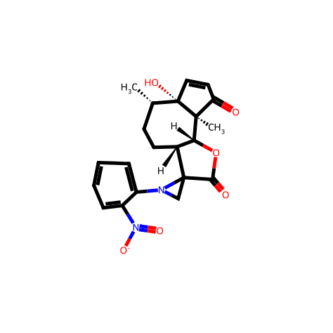 C[C@H]1CC[C@@H]2[C@@H](OC(=O)C23CN3c2ccccc2[N+](=O)[O-])[C@]2(C)C(=O)C=C[C@]12O